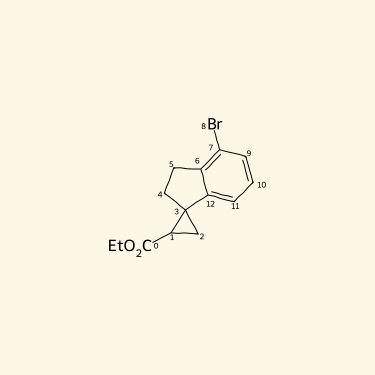 CCOC(=O)C1CC12CCc1c(Br)cccc12